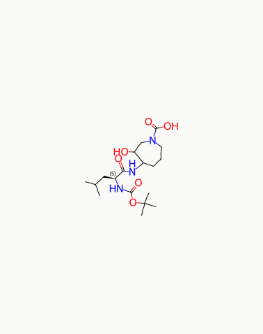 CC(C)C[C@H](NC(=O)OC(C)(C)C)C(=O)NC1CCCN(C(=O)O)CC1O